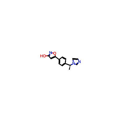 C[C@@H](c1ccc(-c2cc(O)no2)cc1)n1ccnc1